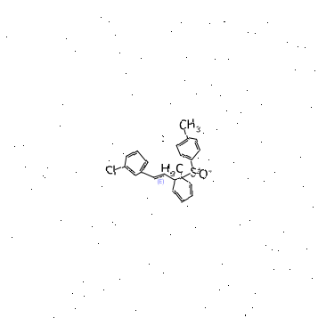 Cc1ccc([S+]([O-])C2(C)C=CC=CC2/C=C/c2cccc(Cl)c2)cc1